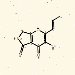 C/C=C/c1oc2c(c(=O)c1O)C(=O)NC2